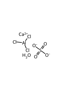 O.O=S(=O)([O-])[O-].[Ca+2].[Cl][Al]([Cl])[Cl]